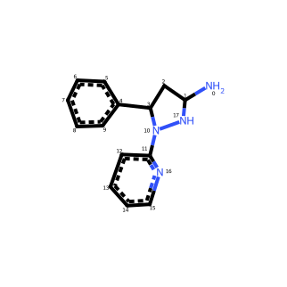 NC1CC(c2ccccc2)N(c2ccccn2)N1